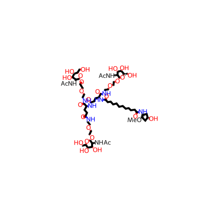 CO[C@H]1C[C@H](O)C[C@H]1NC(=O)CCCCCCCCCCC(=O)NC(CCC(=O)NC(CCC(=O)NCCOCCOC1OC(CO)C(O)C(O)C1NC(C)=O)C(=O)NCCOCCOC1OC(CO)C(O)C(O)C1NC(C)=O)C(=O)NCCOCCOC1O[C@H](CO)C(O)C(O)C1NC(C)=O